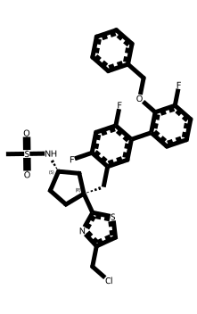 CS(=O)(=O)N[C@H]1CC[C@](Cc2cc(-c3cccc(F)c3OCc3ccccc3)c(F)cc2F)(c2nc(CCl)cs2)C1